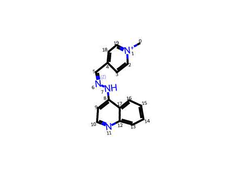 C[n+]1ccc(/C=N\Nc2ccnc3ccccc23)cc1